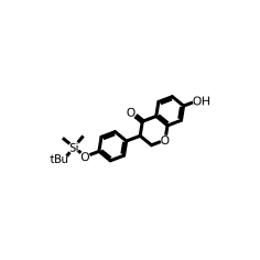 CC(C)(C)[Si](C)(C)Oc1ccc(C2COc3cc(O)ccc3C2=O)cc1